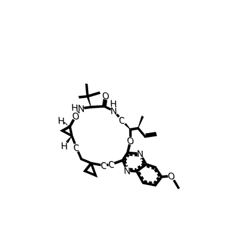 C=C[C@H](C)[C@@H]1CNC(=O)[C@H](C(C)(C)C)NO[C@@H]2C[C@H]2CCC2(CCc3nc4ccc(OC)cc4nc3O1)CC2